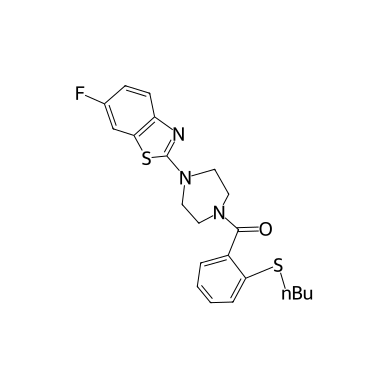 CCCCSc1ccccc1C(=O)N1CCN(c2nc3ccc(F)cc3s2)CC1